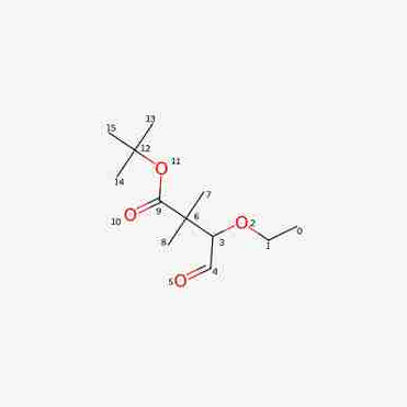 CCOC(C=O)C(C)(C)C(=O)OC(C)(C)C